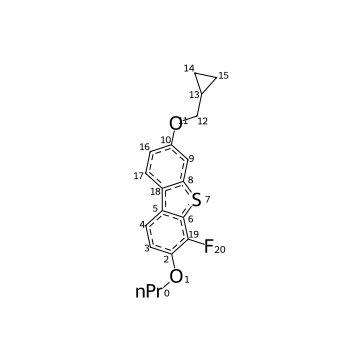 CCCOc1ccc2c(sc3cc(OCC4CC4)ccc32)c1F